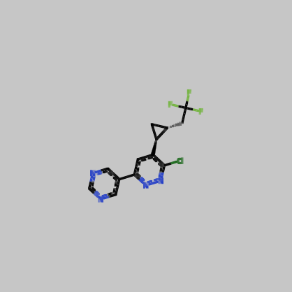 FC(F)(F)C[C@H]1C[C@@H]1c1cc(-c2cncnc2)nnc1Cl